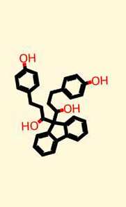 Oc1ccc(CCC(O)C2(C(O)CCc3ccc(O)cc3)c3ccccc3-c3ccccc32)cc1